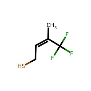 CC(=CCS)C(F)(F)F